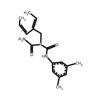 C/C=C\C(=C/C)CN(C(N)=O)C(=O)Nc1cc(C)cc(C)c1